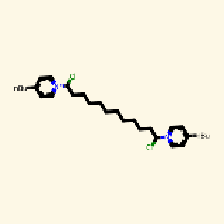 CCCCc1cc[n+](C(Cl)CCCCCCCCCCC(Cl)[n+]2ccc(CCCC)cc2)cc1